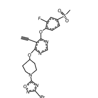 C#Cc1c(Oc2ccc(S(C)(=O)=O)cc2F)ncnc1OC1CCN(c2nc(C(C)C)no2)CC1